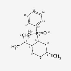 CC1CCC(C(C)C)C(P(=O)(O)c2ccccc2)C1